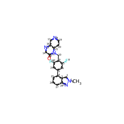 Cn1cc2c(-c3cc(F)c(Cn4c(=O)cnc5cnccc54)c(F)c3)cccc2n1